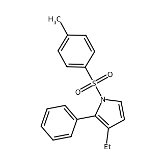 CCc1ccn(S(=O)(=O)c2ccc(C)cc2)c1-c1ccccc1